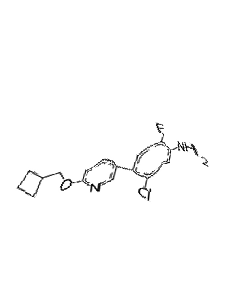 Nc1cc(Cl)c(-c2ccc(OCC3CCC3)nc2)cc1F